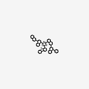 c1ccc(-c2cc(-c3ccc4cccc(-c5nc(-c6ccc(-c7ccc8ccccc8c7)c7ccccc67)nc(-c6cccc7c6sc6ccccc67)n5)c4c3)cc3ccccc23)cc1